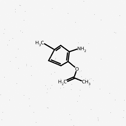 C=C(C)Oc1ccc(C)cc1N